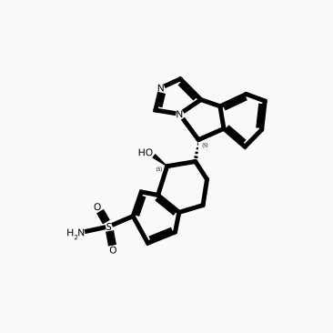 NS(=O)(=O)c1ccc2c(c1)[C@@H](O)C([C@H]1c3ccccc3-c3cncn31)CC2